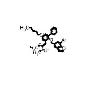 CCCCCC.CS/C(=C\c1cccc(-c2ccccc2)c1OCc1cc(Br)c2occc2c1)[S+](C)[O-]